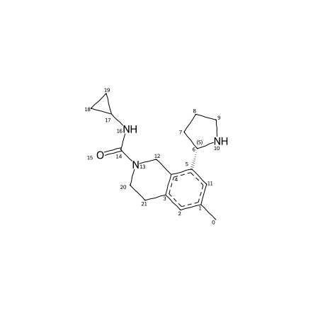 Cc1cc2c(c([C@@H]3CCCN3)c1)CN(C(=O)NC1CC1)CC2